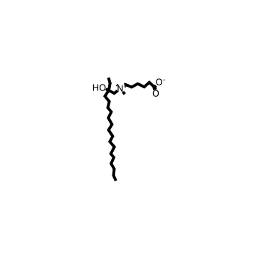 CCCCCCCCCCCCCCCCC(O)(CC)C[N+](C)(C)CCCCCC(=O)[O-]